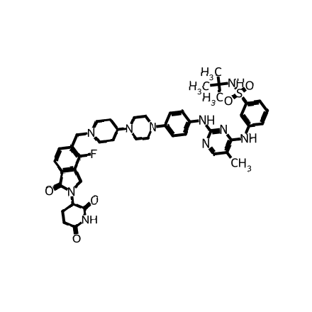 Cc1cnc(Nc2ccc(N3CCN(C4CCN(Cc5ccc6c(c5F)CN(C5CCC(=O)NC5=O)C6=O)CC4)CC3)cc2)nc1Nc1cccc(S(=O)(=O)NC(C)(C)C)c1